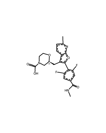 CNC(=O)c1cc(F)c(-c2oc3nc(C)ccc3c2C[C@H]2CN(C(=O)O)CCO2)c(F)c1